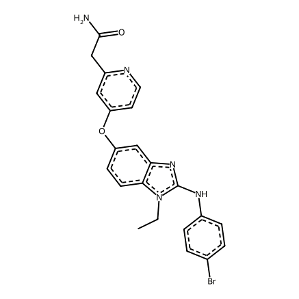 CCn1c(Nc2ccc(Br)cc2)nc2cc(Oc3ccnc(CC(N)=O)c3)ccc21